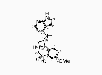 COc1cc2c(cn1)C1[C@H](C[C@H]1N(C)c1ncnc3[nH]ccc13)CS2(=O)=O